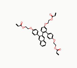 C=CC(=O)OCCOc1ccc(-c2cc(OCCOC(=O)C=C)ccc2-c2cc3ccccc3cc2-c2ccc(OCCOC(=O)C=C)cc2)cc1